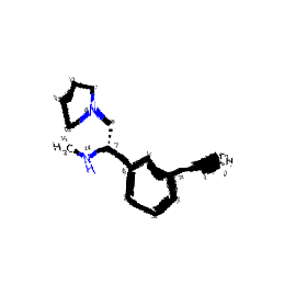 C#Cc1cccc([C@@H](CN2CCCC2)NC)c1